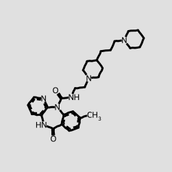 Cc1ccc2c(c1)N(C(=O)NCCN1CCC(CCCN3CCCCC3)CC1)c1ncccc1NC2=O